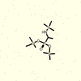 CC(N[Si](C)(C)C)P(=O)(O[Si](C)(C)C)O[Si](C)(C)C